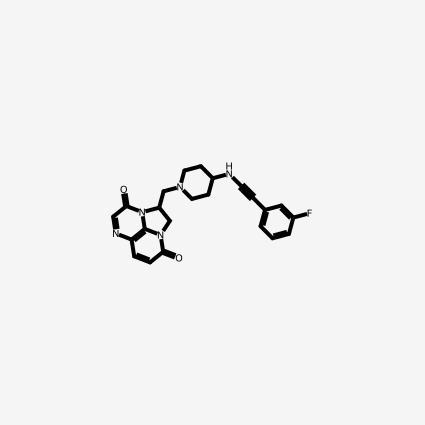 O=c1ccc2ncc(=O)n3c2n1CC3CN1CCC(NC#Cc2cccc(F)c2)CC1